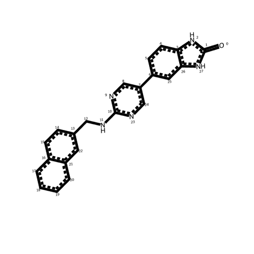 O=c1[nH]c2ccc(-c3cnc(NCc4ccc5ccccc5c4)nc3)cc2[nH]1